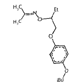 CCC(C)Oc1ccc(OCC(CC)ON=C(C)C)cc1